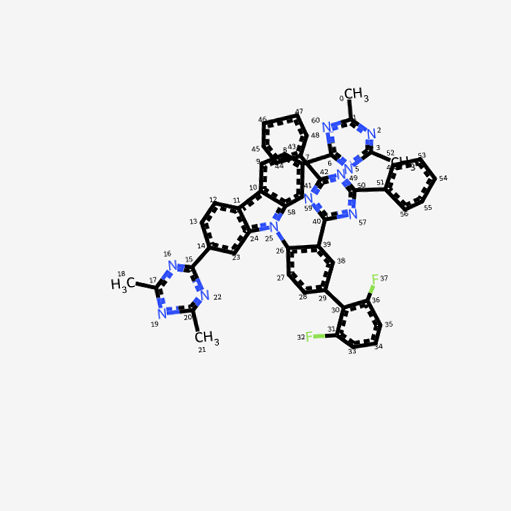 Cc1nc(C)nc(-c2ccc3c4ccc(-c5nc(C)nc(C)n5)cc4n(-c4ccc(-c5c(F)cccc5F)cc4-c4nc(-c5ccccc5)nc(-c5ccccc5)n4)c3c2)n1